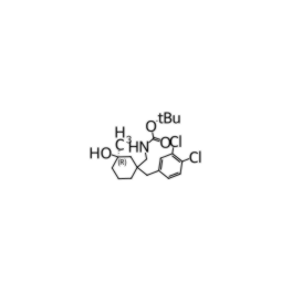 CC(C)(C)OC(=O)NCC1(Cc2ccc(Cl)c(Cl)c2)CCC[C@@](C)(O)C1